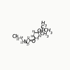 CC(C)(C)Oc1ccc(OC2CN(CCCCl)C2)cc1